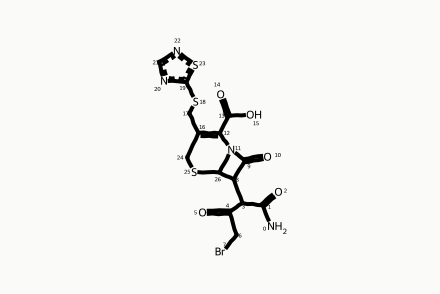 NC(=O)C(C(=O)CBr)C1C(=O)N2C(C(=O)O)=C(CSc3ncns3)CSC12